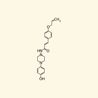 C=CCOc1ccc(C=CC(=O)NN2CCN(c3ccc(O)cc3)CC2)cc1